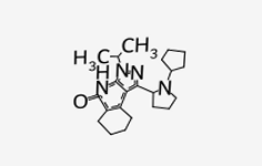 CC(C)n1nc(C2CCCN2C2CCCC2)c2c3c(c(=O)[nH]c21)CCCC3